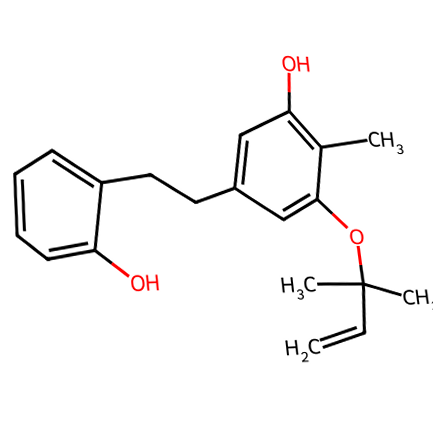 C=CC(C)(C)Oc1cc(CCc2ccccc2O)cc(O)c1C